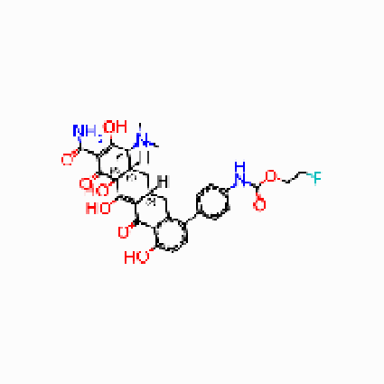 CN(C)[C@@H]1C(O)=C(C(N)=O)C(=O)[C@@]2(O)C(O)=C3C(=O)c4c(O)ccc(-c5ccc(NC(=O)OCCF)cc5)c4C[C@H]3C[C@@H]12